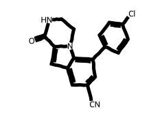 N#Cc1cc(-c2ccc(Cl)cc2)c2c(c1)cc1n2CCNC1=O